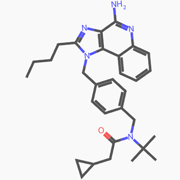 CCCCc1nc2c(N)nc3ccccc3c2n1Cc1ccc(CN(C(=O)CC2CC2)C(C)(C)C)cc1